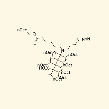 CCCCCCCCCCCOC(=O)CCCCCN(CCCN=[N+]=[N-])C(CCC)(C(C)CCCCCCCC)C(C(C)CCCCCCCC)(C(C)CCCCCCCC)C(C(C)CCCCCCCC)(C(C)CCCCCCCC)C(C(=O)O)(C(C)CCCCCCCC)C(C)CCCCCCCC